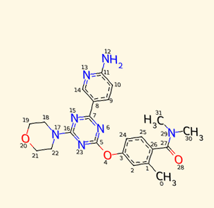 Cc1cc(Oc2nc(-c3ccc(N)nc3)nc(N3CCOCC3)n2)ccc1C(=O)N(C)C